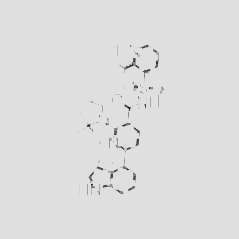 C[C@@H]1CN(c2nc(-c3cccc4[nH]ccc34)ccc2C(=O)NS(=O)(=O)c2ccc[nH]c2=O)C(C)(C)C1